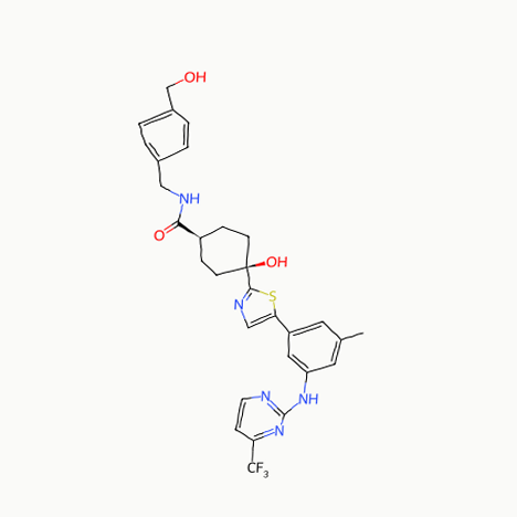 Cc1cc(Nc2nccc(C(F)(F)F)n2)cc(-c2cnc([C@]3(O)CC[C@@H](C(=O)NCc4ccc(CO)cc4)CC3)s2)c1